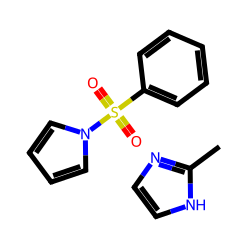 Cc1ncc[nH]1.O=S(=O)(c1ccccc1)n1cccc1